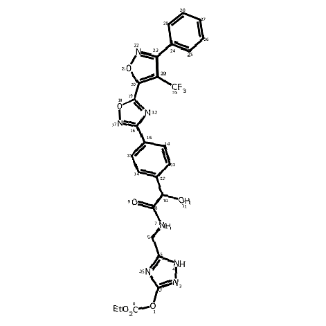 CCOC(=O)Oc1n[nH]c(CNC(=O)C(O)c2ccc(-c3noc(-c4onc(-c5ccccc5)c4C(F)(F)F)n3)cc2)n1